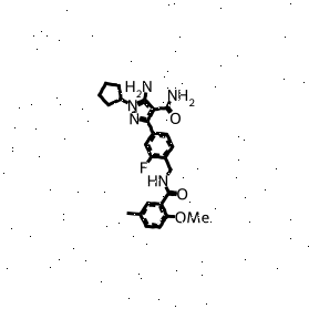 COc1ccc(C)cc1C(=O)NCc1ccc(-c2nn(C3CCCC3)c(N)c2C(N)=O)cc1F